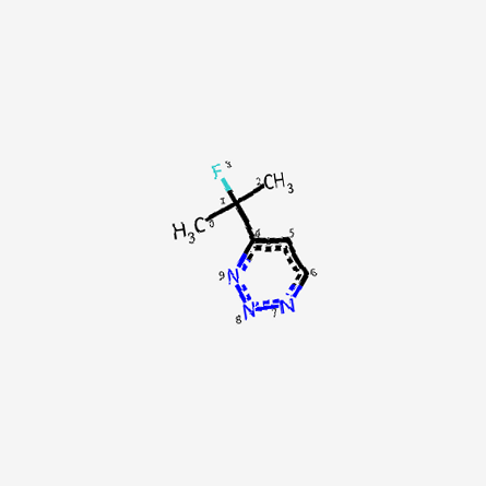 CC(C)(F)c1ccnnn1